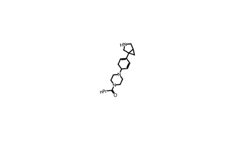 CCCC(=O)N1CCN(C2C=CC(C34CNCC3C4)=CC2)CC1